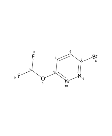 FC(F)Oc1ccc(Br)nn1